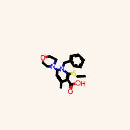 CCSC1=C(C(=O)O)C(C)=CC(N2CCOCC2)N1Cc1ccccc1